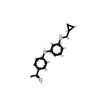 CC(=O)c1ccc(Oc2cccc(OCC3CC3)c2)cc1